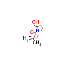 C=C(C)OC(=O)N1CCC[C@@H]1CO